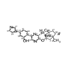 C[C@]12C[C@@H](Oc3cnc(-c4ccc(-n5ccnc5)cc4O)cn3)[C@H](F)[C@](C)(C[C@@H]1F)N2